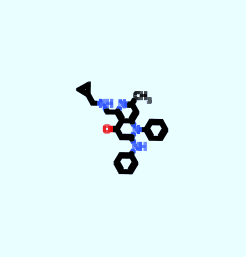 Cc1cc2c(c(CNCC3CC3)n1)c(=O)cc(Nc1ccccc1)n2-c1ccccc1